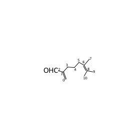 C=C(C=O)CCCC(C)=C(C)C